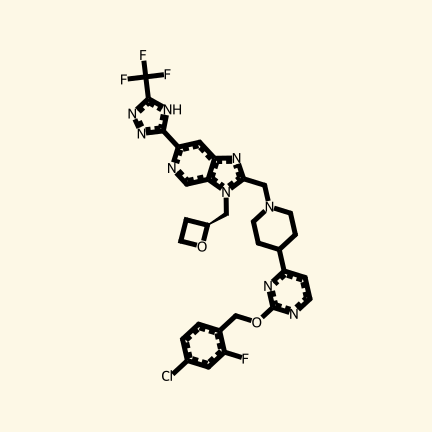 Fc1cc(Cl)ccc1COc1nccc(C2CCN(Cc3nc4cc(-c5nnc(C(F)(F)F)[nH]5)ncc4n3C[C@@H]3CCO3)CC2)n1